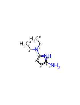 CCN(CC)c1ccc(N)[nH]1